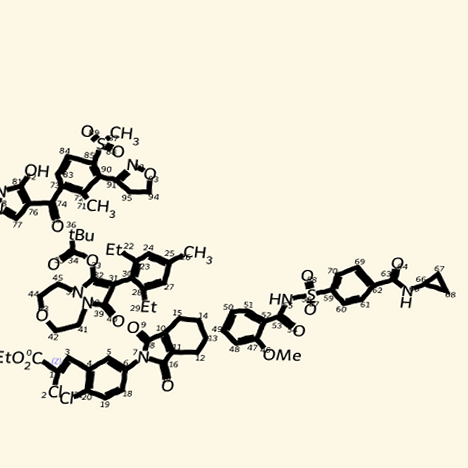 CCOC(=O)/C(Cl)=C/c1cc(N2C(=O)C3=C(CCCC3)C2=O)ccc1Cl.CCc1cc(C)cc(CC)c1-c1c(OC(=O)C(C)(C)C)n2n(c1=O)CCOCC2.COc1ccccc1C(=O)NS(=O)(=O)c1ccc(C(=O)NC2CC2)cc1.Cc1c(C(=O)c2cnn(C)c2O)ccc(S(C)(=O)=O)c1C1=NOCC1